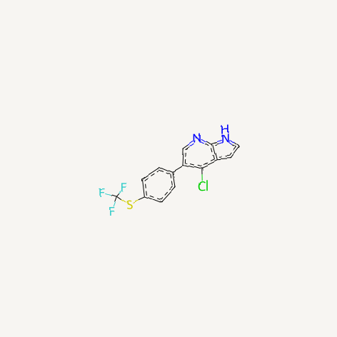 FC(F)(F)Sc1ccc(-c2cnc3[nH]ccc3c2Cl)cc1